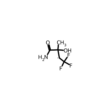 CC(O)([CH]C(F)(F)F)C(N)=O